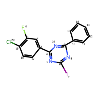 Fc1cc(-c2nc(I)nc(-c3ccccc3)n2)ccc1Cl